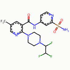 NS(=O)(=O)c1cc(NC(=O)c2cc(C(F)(F)F)cnc2N2CCN(C(F)C(F)F)CC2)ccn1